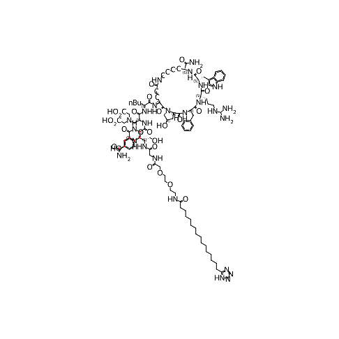 CCCC[C@H](NC(=O)[C@H](CN(CC(=O)O)CC(=O)O)NC(=O)[C@H](Cc1ccc(O)cc1)NC(=O)[C@H](CCC(N)=O)NC(=O)[C@H](CO)NC(=O)CNC(=O)COCCOCCNC(=O)CCCCCCCCCCCCCCCc1nnn[nH]1)C(=O)N[C@H]1CCC(=O)NCCCC[C@@H](C(N)=O)NC(=O)[C@H](Cc2c[nH]c3ccccc23)NC(=O)[C@H](CCCNC(N)N)NC(=O)[C@@H](Cc2ccccc2)NC(=O)[C@@H]2C[C@@H](O)CN2C1=O